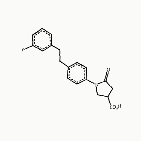 O=C(O)C1CC(=O)N(c2ccc(CCc3cccc(F)c3)cc2)C1